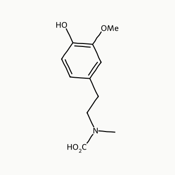 COc1cc(CCN(C)C(=O)O)ccc1O